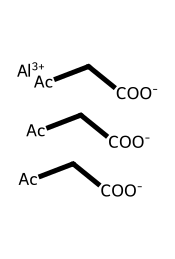 CC(=O)CC(=O)[O-].CC(=O)CC(=O)[O-].CC(=O)CC(=O)[O-].[Al+3]